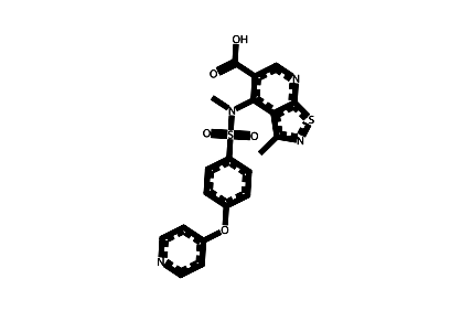 Cc1nsc2ncc(C(=O)O)c(N(C)S(=O)(=O)c3ccc(Oc4ccncc4)cc3)c12